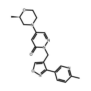 Cc1ccc(-c2nocc2Cn2ncc(N3CCO[C@H](C)C3)cc2=O)cn1